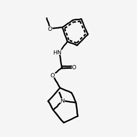 COc1ccccc1NC(=O)OC1CC2CCC(C1)N2C